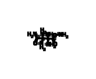 NOC(=O)C(N)(N)C(N)(N)C(N)=O